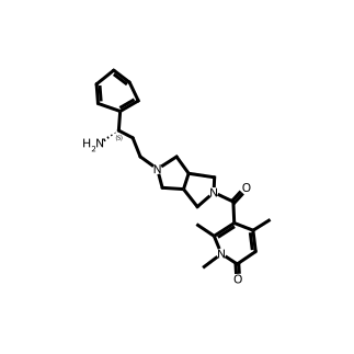 Cc1cc(=O)n(C)c(C)c1C(=O)N1CC2CN(CC[C@H](N)c3ccccc3)CC2C1